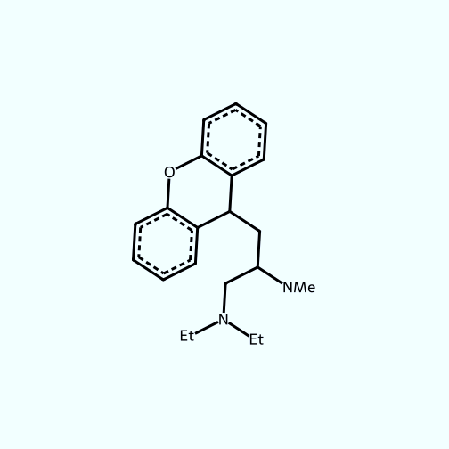 CCN(CC)CC(CC1c2ccccc2Oc2ccccc21)NC